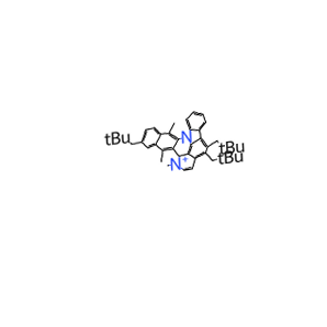 Cc1c2cc(CC(C)(C)C)ccc2c(C)c2c1c1c3c(cc[n+]1C)c(CC(C)(C)C)c(CC(C)(C)C)c1c4ccccc4n2c13